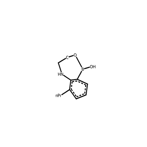 CCCc1cccc2c1NCCOB2O